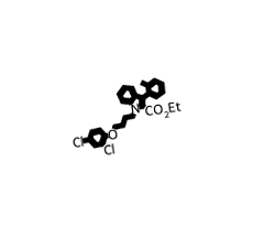 CCOC(=O)c1c(-c2ccccc2C)c2ccccc2n1CCCCOc1ccc(Cl)cc1Cl